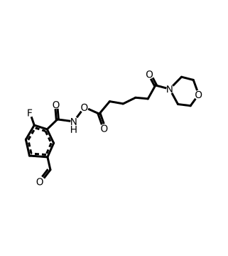 O=Cc1ccc(F)c(C(=O)NOC(=O)CCCCC(=O)N2CCOCC2)c1